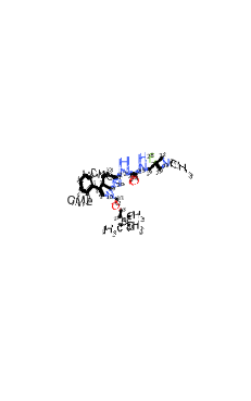 COc1cccc(OC)c1-c1cn(COCC[Si](C)(C)C)c2nc(NC(=O)NCC3(F)CN(C)C3)ccc12